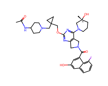 CC(=O)NC1CCN(CC2(COc3nc4c(c(N5CCC[C@@](C)(O)C5)n3)CN(C(=O)c3cc(O)cc5cccc(I)c35)C4)CC2)CC1